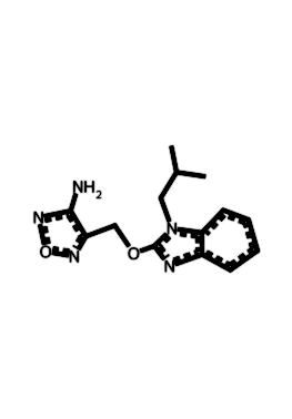 CC(C)Cn1c(OCc2nonc2N)nc2ccccc21